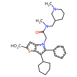 CN1CCCC(CN(C)C(=O)Cn2c(-c3ccccc3)c(C3CCCCC3)c3sc(C(=O)O)cc32)C1